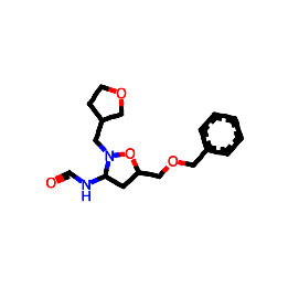 O=CNC1CC(COCc2ccccc2)ON1CC1CCOC1